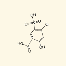 O=C(O)c1cc(S(=O)(=O)O)c(Cl)cc1O